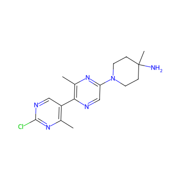 Cc1nc(Cl)ncc1-c1ncc(N2CCC(C)(N)CC2)nc1C